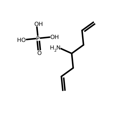 C=CCC(N)CC=C.O=P(O)(O)O